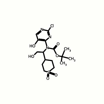 CC(C)(C)OC(=O)N(c1nc(Cl)ncc1O)C(CO)C1CCS(=O)(=O)CC1